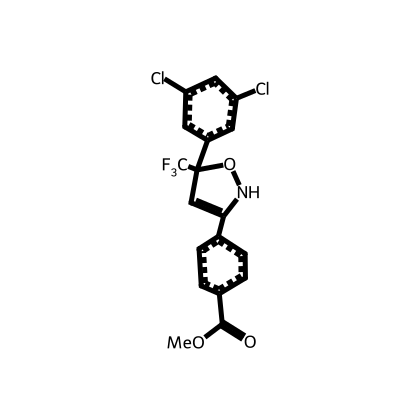 COC(=O)c1ccc(C2=CC(c3cc(Cl)cc(Cl)c3)(C(F)(F)F)ON2)cc1